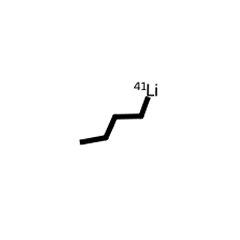 [41Li][CH2]CCC